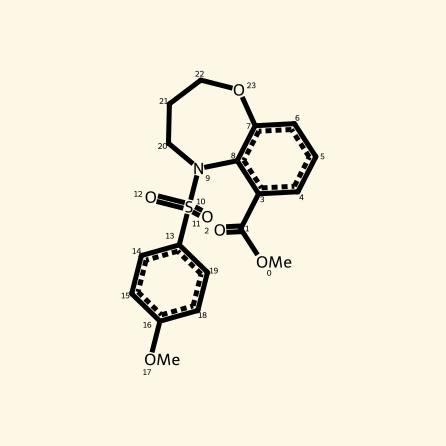 COC(=O)c1cccc2c1N(S(=O)(=O)c1ccc(OC)cc1)CCCO2